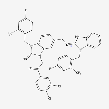 N=c1n(CC(=O)c2ccc(Cl)c(Cl)c2)c2cc(C/N=c3\[nH]c4ccccc4n3Cc3ccc(F)cc3C(F)(F)F)ccc2n1Cc1ccc(F)cc1C(F)(F)F